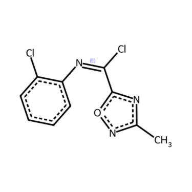 Cc1noc(/C(Cl)=N\c2ccccc2Cl)n1